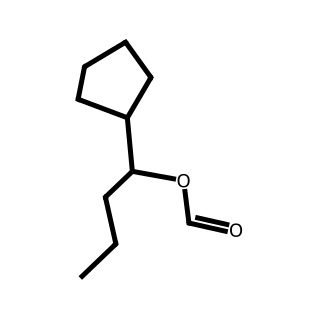 CCCC(OC=O)C1CCCC1